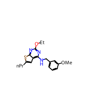 CCCc1cc2c(NCc3cccc(OC)c3)nc(OCC)nc2s1